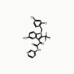 O=C(Nc1cccnc1)C(=O)c1c(C(F)(F)F)n(Cc2ccc(Cl)cc2Cl)c2ccc(O)cc12